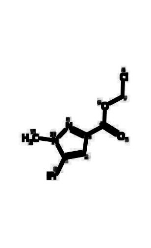 CC(C)c1cc(C(=O)OCCl)nn1C